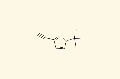 C#Cc1ccn(C(C)(CCCCCC)CCCCCCC)n1